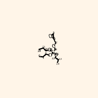 CCCO[Si](COCC1CO1)(OCCC)OCCC